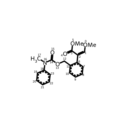 COC=C(C(=O)OC)c1ccccc1COC(=O)N(C)c1ccccc1